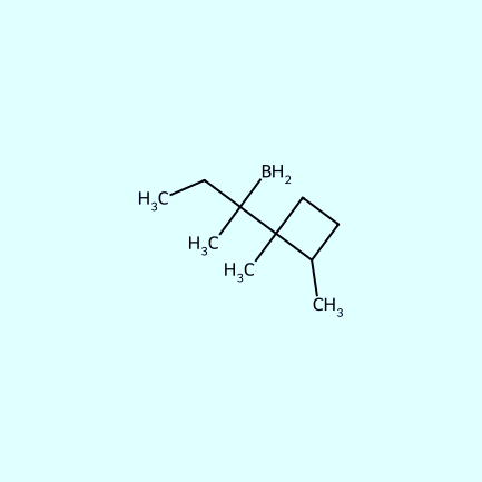 BC(C)(CC)C1(C)CCC1C